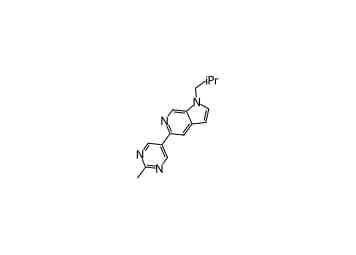 Cc1ncc(-c2cc3ccn(CC(C)C)c3cn2)cn1